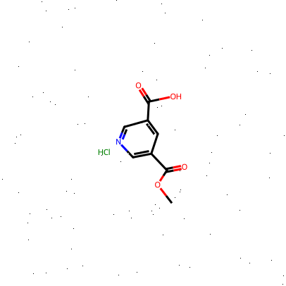 COC(=O)c1cncc(C(=O)O)c1.Cl